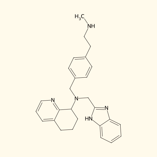 CNCCc1ccc(CN(Cc2nc3ccccc3[nH]2)C2CCCc3cccnc32)cc1